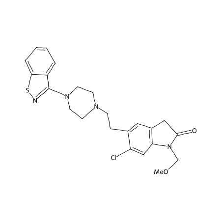 COCN1C(=O)Cc2cc(CCN3CCN(c4nsc5ccccc45)CC3)c(Cl)cc21